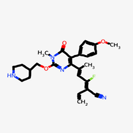 C=C/C(C#N)=C(F)\C=C(/C)c1nc(OCC2CCNCC2)n(C)c(=O)c1-c1ccc(OC)cc1